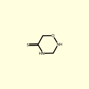 S=C1CONCN1